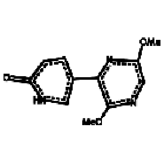 COc1cnc(OC)c(-c2ccc(=O)[nH]c2)n1